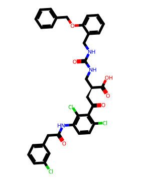 O=C(Cc1cccc(Cl)c1)Nc1ccc(Cl)c(C(=O)C[C@@H](CNC(=O)NCc2ccccc2OCc2ccccc2)C(=O)O)c1Cl